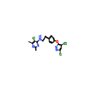 Cc1nc(C)c(Cl)c(NCCc2ccc(Oc3nnc(Cl)cc3Cl)cc2)n1